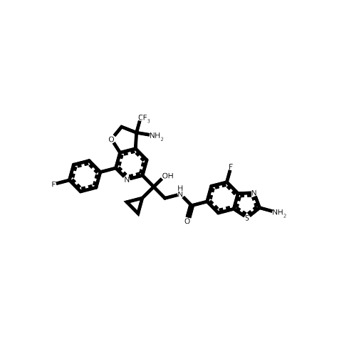 Nc1nc2c(F)cc(C(=O)NCC(O)(c3cc4c(c(-c5ccc(F)cc5)n3)OCC4(N)C(F)(F)F)C3CC3)cc2s1